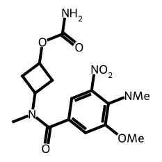 CNc1c(OC)cc(C(=O)N(C)C2CC(OC(N)=O)C2)cc1[N+](=O)[O-]